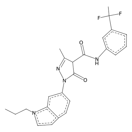 CCCn1ccc2ccc(N3N=C(C)C(C(=O)Nc4cccc(C(C)(F)F)c4)C3=O)cc21